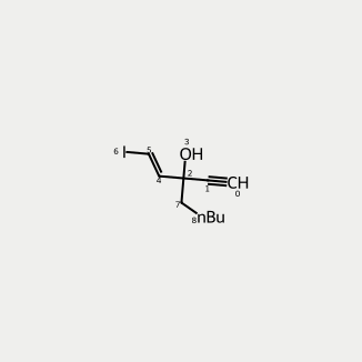 C#CC(O)(C=CI)CCCCC